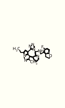 CCc1cc2c3n1CN=C(C)C3=c1cccnc1=C(NCc1c(F)ccc3c1CCO3)n1cnnc1-2